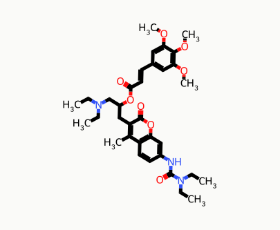 CCN(CC)CC(Cc1c(C)c2ccc(NC(=O)N(CC)CC)cc2oc1=O)OC(=O)C=Cc1cc(OC)c(OC)c(OC)c1